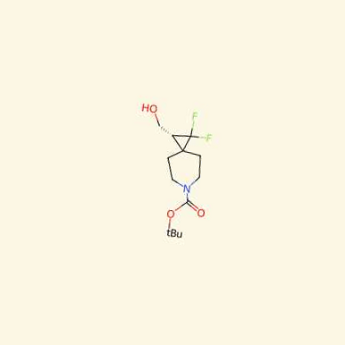 CC(C)(C)OC(=O)N1CCC2(CC1)[C@H](CO)C2(F)F